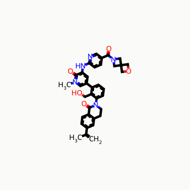 C=C(C)c1ccc2c(c1)CCN(c1cccc(-c3cc(Nc4ccc(C(=O)N5CC6(COC6)C5)cn4)c(=O)n(C)c3)c1CO)C2=O